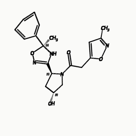 Cc1cc(CC(=O)N2C[C@H](O)C[C@H]2C2=NO[C@@](C)(c3ccccc3)N2)on1